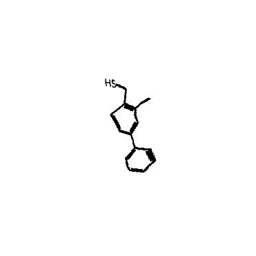 Cc1cc(-c2ccccc2)ccc1CS